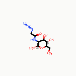 [N-]=[N+]=NCC(=O)NC1C(O)[C@H](O)C(CO)O[C@H]1O